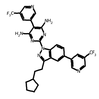 Nc1nc(-n2nc(CCC3CCCC3)c3cc(-c4cncc(C(F)(F)F)c4)ccc32)nc(N)c1-c1cncc(C(F)(F)F)c1